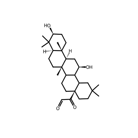 CC1(C)CC[C@]2(C(=O)C=O)CCC3C(C2C1)[C@H](O)C[C@@H]1[C@@]2(C)CC[C@H](O)C(C)(C)[C@@H]2CC[C@@]31C